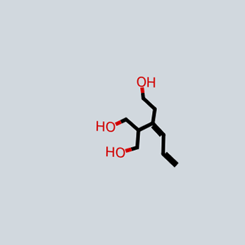 C=CC=C(CCO)C(CO)CO